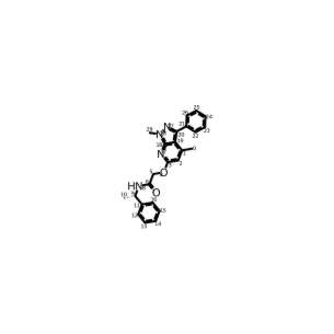 Cc1cc(OCC(=O)N[C@@H](C)c2ccccc2)nc2c1c(-c1ccccc1)nn2C